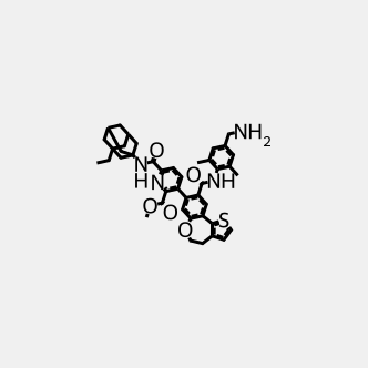 CCC12CC3CC(C1)CC(NC(=O)c1ccc(-c4cc5c(cc4C(=O)Nc4c(C)cc(CN)cc4C)-c4sccc4CCO5)c(C(=O)OC)n1)(C3)C2